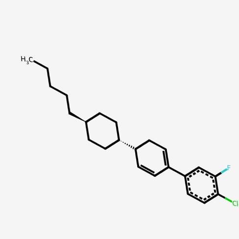 CCCCC[C@H]1CC[C@H](C2C=CC(c3ccc(Cl)c(F)c3)=CC2)CC1